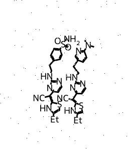 CCC1=CSC(=C(C#N)c2ccnc(NCCc3ccc(N(C)C)nc3)n2)N1.CCC1=CSC(=C(C#N)c2ccnc(NCCc3ccc(S(N)(=O)=O)cc3)n2)N1